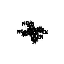 N#Cc1ccnc(-c2cc(-c3cc(C#N)ccn3)c3ccc4c(-c5ncccc5C#N)cc(-c5cc(C#N)ccn5)c5ccc2c3c54)c1